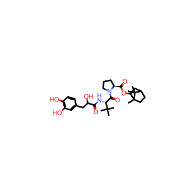 CC(C)(C)[C@H](NC(=O)C(O)Cc1ccc(O)c(O)c1)C(=O)N1CCC[C@H]1C(=O)OC1CC2CCC1(C)C2(C)C